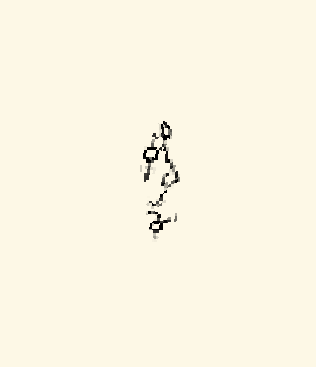 CC(Cc1ccc(Cl)cc1Cl)C(=S)OCCN1CCN(CCCN2c3ccccc3Sc3ccc(C(F)(F)F)cc32)CC1